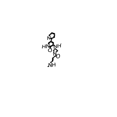 CNCC=CC(=O)N1CC(Nc2cc(-c3ccccn3)c[nH]c2=O)C1